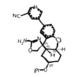 CC(C)O[C@@H]1CC[C@@H]2Oc3ccc(-c4cncc(C#N)c4)cc3[C@]3(COC(N)=N3)[C@H]2C1